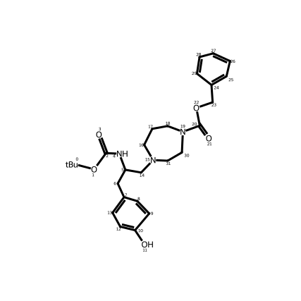 CC(C)(C)OC(=O)NC(Cc1ccc(O)cc1)CN1CCCN(C(=O)OCc2ccccc2)CC1